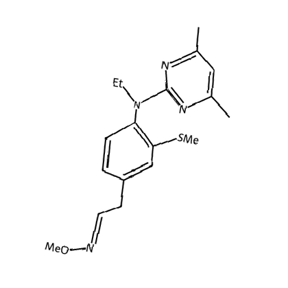 CCN(c1nc(C)cc(C)n1)c1ccc(CC=NOC)cc1SC